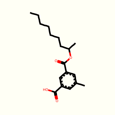 CCCCCCCC(C)OC(=O)c1cc(C)cc(C(=O)O)c1